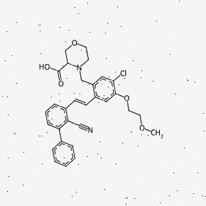 COCCOc1cc(C=Cc2cccc(-c3ccccc3)c2C#N)c(CN2CCOCC2C(=O)O)cc1Cl